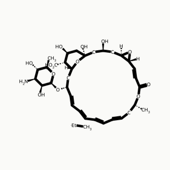 C[C@@H]1C/C=C/C=C/C=C/C=C/[C@H](O[C@@H]2O[C@H](C)[C@@H](O)[C@H](N)[C@@H]2O)C[C@@H]2O[C@](O)(C[C@@H](O)C[C@H]3O[C@@H]3/C=C/C(=O)O1)C[C@H](O)[C@H]2C(=O)O.C[CH]C